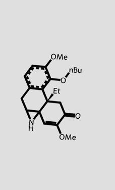 CCCCOc1c(OC)ccc2c1[C@]1(CC)CC(=O)C(OC)=CC13NC3C2